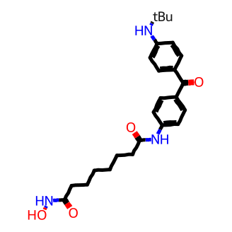 CC(C)(C)Nc1ccc(C(=O)c2ccc(NC(=O)CCCCCCC(=O)NO)cc2)cc1